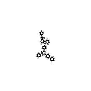 c1ccc(-c2ccc(-c3cc(-c4ccc(-n5c6ccccc6c6c7oc(-c8ccccc8)nc7ccc65)cc4)nc(-c4ccccc4)n3)cc2)cc1